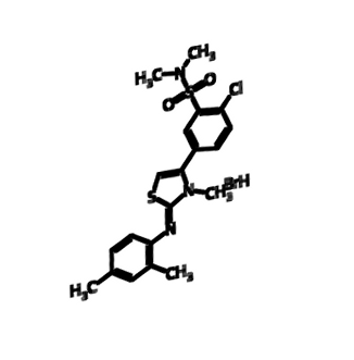 Br.Cc1ccc(N=c2scc(-c3ccc(Cl)c(S(=O)(=O)N(C)C)c3)n2C)c(C)c1